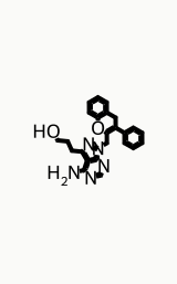 Nc1ncnc2c1c(CCCO)nn2CC1=C(c2ccccc2)Cc2ccccc2O1